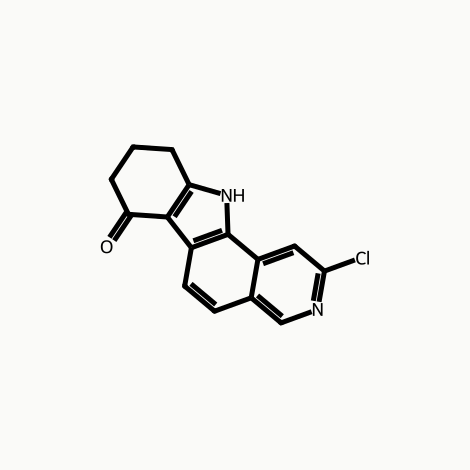 O=C1CCCc2[nH]c3c(ccc4cnc(Cl)cc43)c21